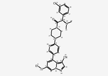 CCOc1cc(-c2ccc(N3CCN(C(=O)[C@@H](c4cccc(Cl)c4)N(C)C)CC3)nc2)c2c(C#N)cnn2c1